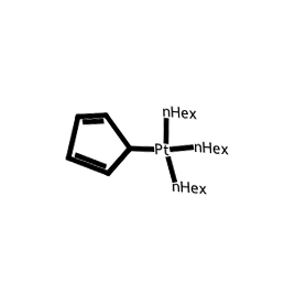 CCCCC[CH2][Pt]([CH2]CCCCC)([CH2]CCCCC)[CH]1C=CC=C1